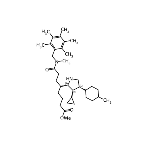 COC(=O)CCCC(CCC(=O)N(C)Cc1c(C)c(C)c(C)c(C)c1C)[C@H]1NC[C@@H](C2CCC(C)CC2)[C@H]1C1CC1